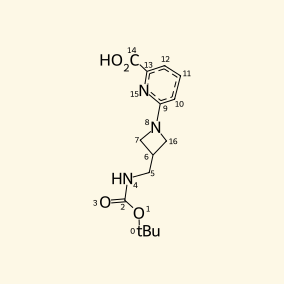 CC(C)(C)OC(=O)NCC1CN(c2cccc(C(=O)O)n2)C1